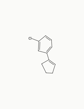 Clc1cccc(C2=CCCC2)c1